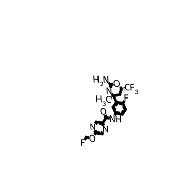 C[C@@]1(c2cc(NC(=O)c3cnc(OCF)cn3)ccc2F)C[C@@H](C(F)(F)F)OC(N)=N1